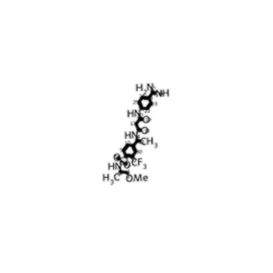 COCC(C)NS(=O)(=O)c1ccc(C(C)NC(=O)CC(=O)Nc2ccc(C(=N)N)cc2)cc1C(F)(F)F